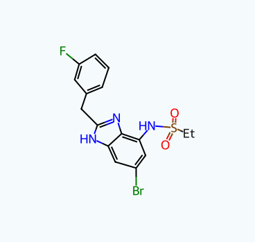 CCS(=O)(=O)Nc1cc(Br)cc2[nH]c(Cc3cccc(F)c3)nc12